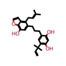 C=CC(C)(C)c1cc(CCCc2cc(O)c3occc3c2CC=C(C)C)c(O)cc1O